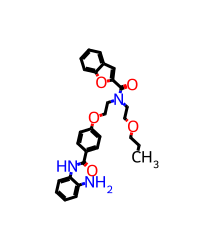 CCCOCCN(CCOc1ccc(C(=O)Nc2ccccc2N)cc1)C(=O)c1cc2ccccc2o1